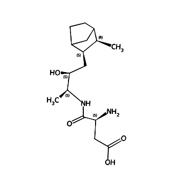 C[C@H](NC(=O)[C@@H](N)CC(=O)O)[C@@H](O)C[C@H]1C2CCC(C2)[C@H]1C